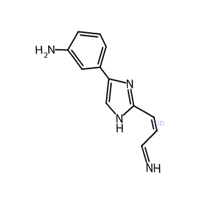 N=C/C=C\c1nc(-c2cccc(N)c2)c[nH]1